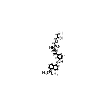 CN(C)c1cccc2c(SNc3cccc(-c4csc(NC(=O)COCC(O)CO)n4)c3)cccc12